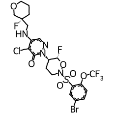 O=c1c(Cl)c(NC[C@]2(F)CCCOC2)cnn1[C@@H]1CCN(S(=O)(=O)c2cc(Br)ccc2OC(F)(F)F)O[C@H]1F